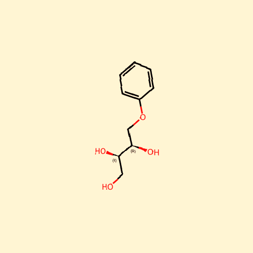 OC[C@@H](O)[C@H](O)COc1ccccc1